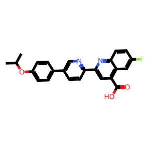 CC(C)Oc1ccc(-c2ccc(-c3cc(C(=O)O)c4cc(F)ccc4n3)nc2)cc1